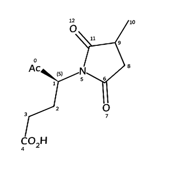 CC(=O)[C@H](CCC(=O)O)N1C(=O)CC(C)C1=O